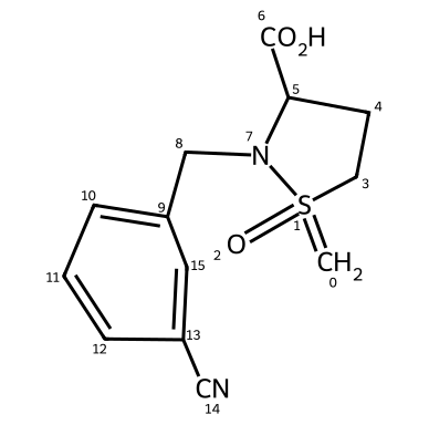 C=S1(=O)CCC(C(=O)O)N1Cc1cccc(C#N)c1